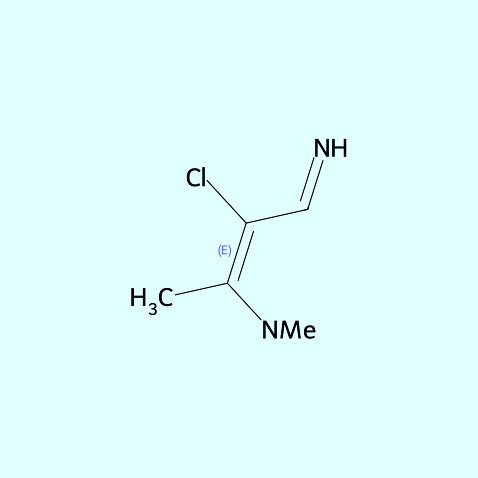 CN/C(C)=C(/Cl)C=N